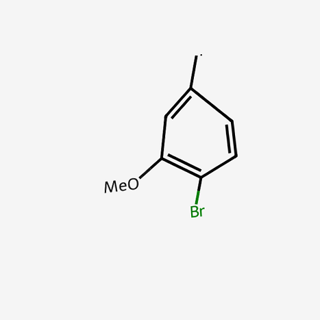 [CH2]c1ccc(Br)c(OC)c1